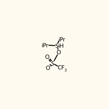 CC(C)[SiH](OS(=O)(=O)C(F)(F)F)C(C)C